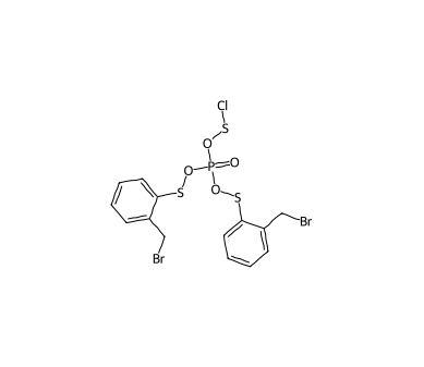 O=P(OSCl)(OSc1ccccc1CBr)OSc1ccccc1CBr